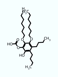 CCCCCCCOc1c(CCCC)c(CCCC)c(O)c(OC(=O)O)c1OCCCCCCC